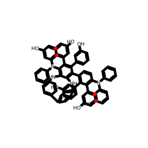 Oc1cccc(-c2c(-c3c(-c4cccc(O)c4)c(-c4cccc(O)c4)c(N(c4ccccc4)c4cccc(O)c4)c4[nH]c5ccc(cc5)c5ccc(cc5)[nH]c34)ccc(N(c3ccccc3)c3cccc(O)c3)c2-c2cccc(O)c2)c1